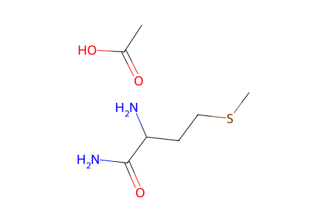 CC(=O)O.CSCCC(N)C(N)=O